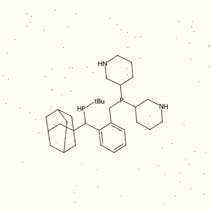 CC(C)(C)PC(c1ccccc1CP(C1CCCNC1)C1CCCNC1)C12CC3CC(CC(C3)C1)C2